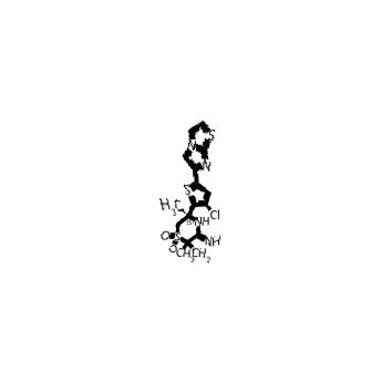 CC1(C)C(=N)N[C@](C)(c2sc(-c3cn4ccsc4n3)cc2Cl)CS1(=O)=O